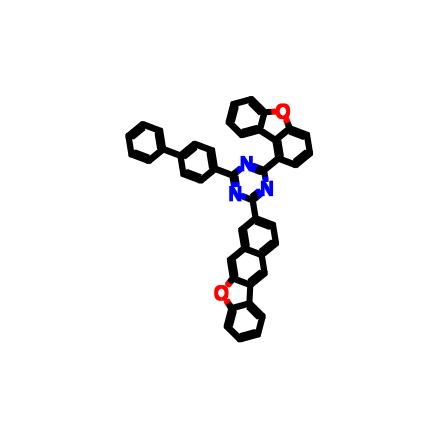 c1ccc(-c2ccc(-c3nc(-c4ccc5cc6c(cc5c4)oc4ccccc46)nc(-c4cccc5oc6ccccc6c45)n3)cc2)cc1